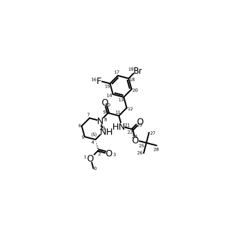 COC(=O)[C@@H]1CCCN(C(=O)C(Cc2cc(F)cc(Br)c2)NC(=O)OC(C)(C)C)N1